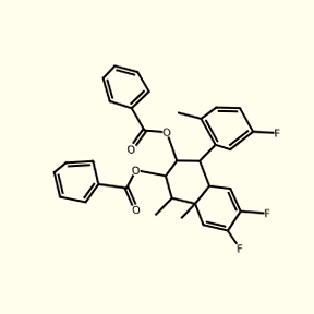 Cc1ccc(F)cc1C1C(OC(=O)c2ccccc2)C(OC(=O)c2ccccc2)C(C)C2(C)C=C(F)C(F)=CC12